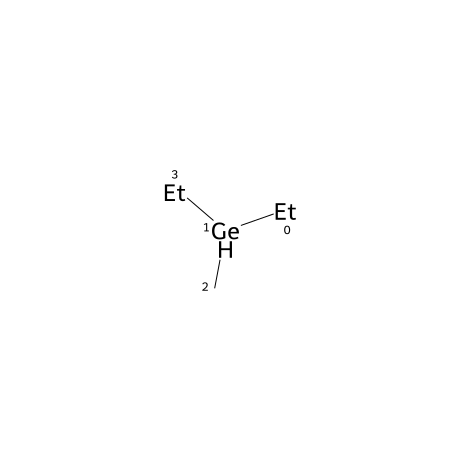 C[CH2][GeH]([CH3])[CH2]C